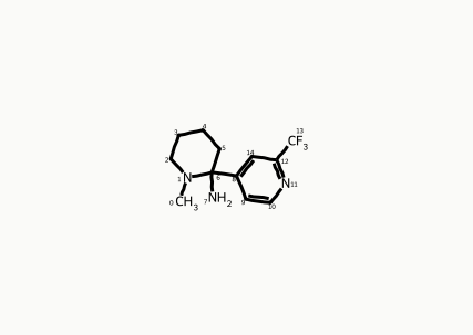 CN1CCCCC1(N)c1ccnc(C(F)(F)F)c1